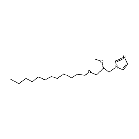 CCCCCCCCCCCCOCC(Cn1ccnc1)OC